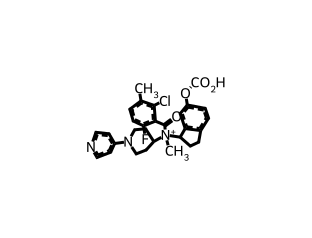 Cc1ccc(F)c(C(=O)[N+](C)(C2CCN(c3ccncc3)CC2)C2CCc3ccc(OC(=O)O)cc32)c1Cl